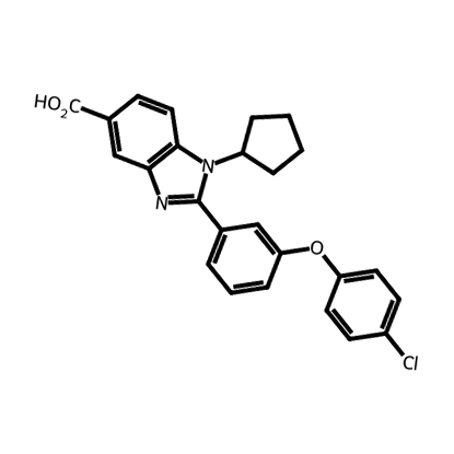 O=C(O)c1ccc2c(c1)nc(-c1cccc(Oc3ccc(Cl)cc3)c1)n2C1CCCC1